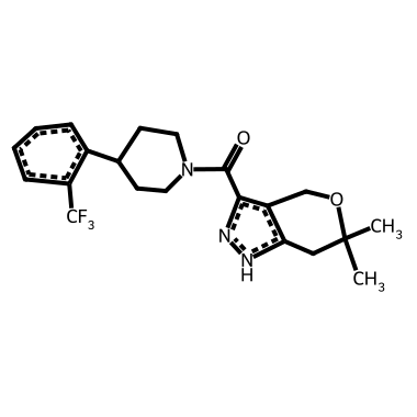 CC1(C)Cc2[nH]nc(C(=O)N3CCC(c4ccccc4C(F)(F)F)CC3)c2CO1